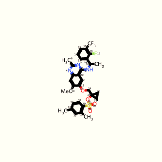 COc1cc2nc(C)nc(NC(C)c3cccc(C(F)(F)F)c3F)c2cc1OCC1(OS(=O)(=O)c2ccc(C)cc2C)CC1